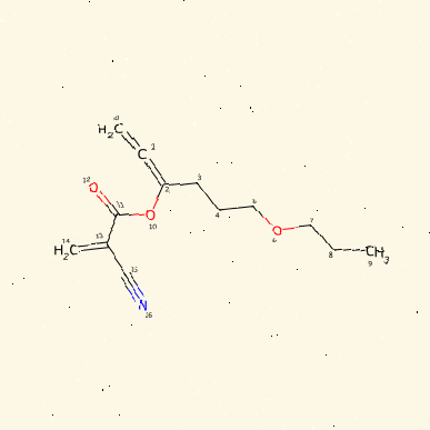 C=C=C(CCCOCCC)OC(=O)C(=C)C#N